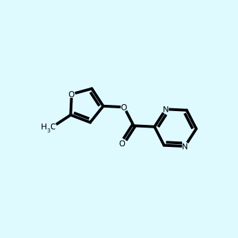 Cc1cc(OC(=O)c2cnccn2)co1